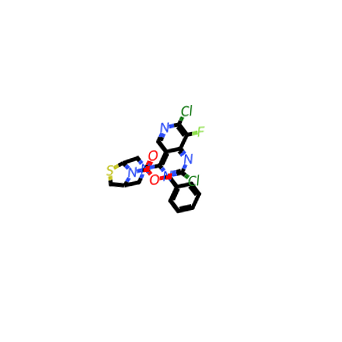 O=C(OCc1ccccc1)N1C2CSC1CN(c1nc(Cl)nc3c(F)c(Cl)ncc13)C2